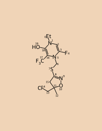 CCN1C=C(F)N(CSC2=NOC(C)(CCl)C2)C(C(F)(F)F)=C1O